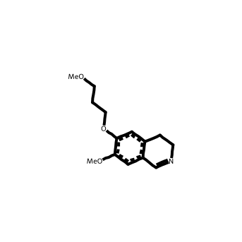 COCCCOc1cc2c(cc1OC)C=NCC2